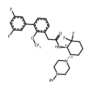 CC(C)N1CCN([C@H]2CCCC(F)(F)[C@@H]2NC(=O)Cc2cccc(-c3cc(F)cc(F)c3)c2OC(F)(F)F)CC1